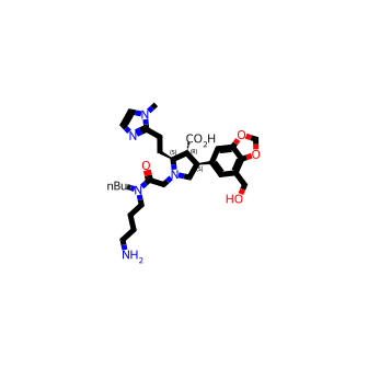 CCCCN(CCCCN)C(=O)CN1C[C@H](c2cc(CO)c3c(c2)OCO3)[C@@H](C(=O)O)[C@@H]1CCc1nccn1C